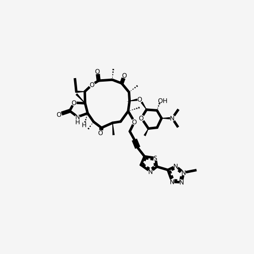 CC[C@H]1OC(=O)[C@H](C)C(=O)[C@H](C)[C@@H](O[C@@H]2O[C@H](C)C[C@H](N(C)C)[C@H]2O)[C@@](C)(OCC#Cc2cnc(-c3nnn(C)n3)s2)C[C@@H](C)C(=O)[C@H](C)[C@H]2NC(=O)O[C@@]21C